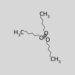 CCCCCCOP(OCCCCCC)OCCCCCC